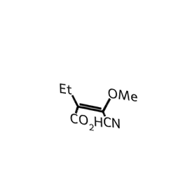 CCC(C(=O)O)=C(C#N)OC